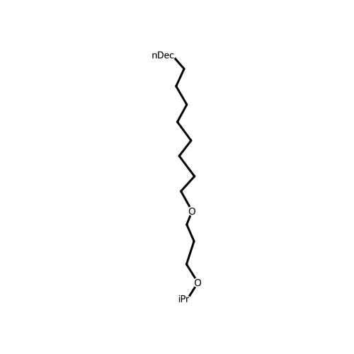 CCCCCCCCCCCCCCCCCCOCCCOC(C)C